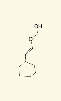 OCOC=CC1CCCCC1